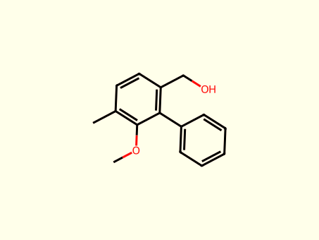 COc1c(C)ccc(CO)c1-c1ccccc1